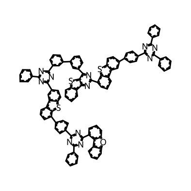 c1ccc(-c2nc(-c3ccccc3)nc(-c3ccc(-c4ccc5sc6c(-c7nc(-c8cccc(-c9cccc(-c%10nc(-c%11ccccc%11)nc(-c%11ccc%12sc%13c(-c%14ccc(-c%15nc(-c%16ccccc%16)nc(-c%16cccc%17oc%18ccccc%18c%16%17)n%15)cc%14)cccc%13c%12c%11)n%10)c9)c8)c8sc9ccccc9c8n7)cccc6c5c4)cc3)n2)cc1